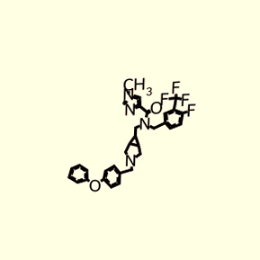 Cn1cnc(C(=O)N(Cc2ccc(F)c(C(F)(F)F)c2)CC2C3CN(Cc4ccc(Oc5ccccc5)cc4)CC32)c1